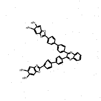 CCCc1cc2nc(-c3ccc(-c4ccc(-c5nc6ccccc6nc5-c5ccc(-c6ccc(-c7nc8cc(CCC)c(CCC)cc8o7)cc6)cc5)cc4)cc3)oc2cc1CCC